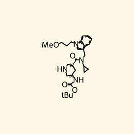 COCCCn1cc(CN(C(=O)[C@@H]2CNC[C@H](NC(=O)OC(C)(C)C)C2)C2CC2)c2ccccc21